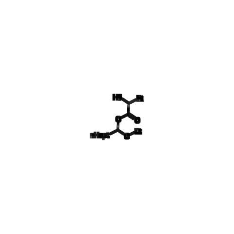 CCCCCCCC(OCC)OC(=O)C(S)CC